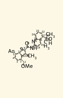 COCc1ccc(C(C)=O)c2sc(C(=O)Nc3ccc4c(C(C)(C)O)cccc4n3)c(C)c12